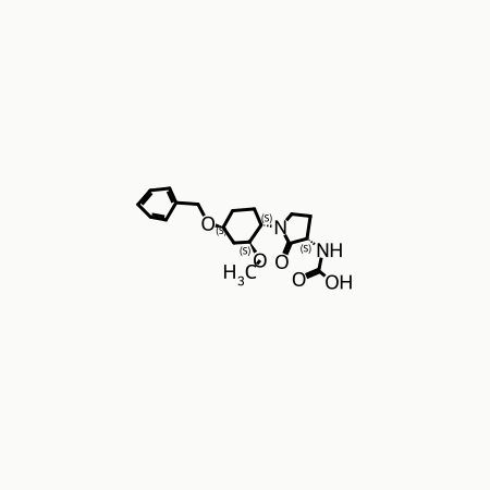 CO[C@H]1C[C@@H](OCc2ccccc2)CC[C@@H]1N1CC[C@H](NC(=O)O)C1=O